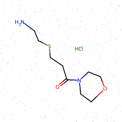 Cl.NCCSCCC(=O)N1CCOCC1